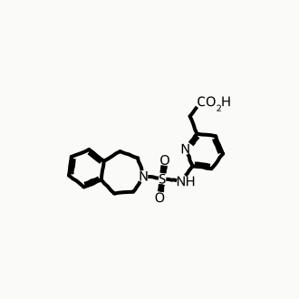 O=C(O)Cc1cccc(NS(=O)(=O)N2CCc3ccccc3CC2)n1